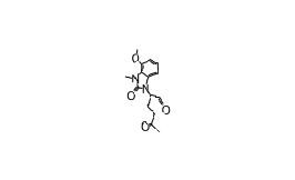 COc1cccc2c1n(C)c(=O)n2C(C=O)CCC(C)=O